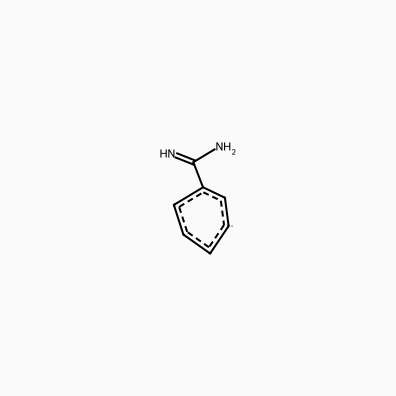 N=C(N)c1c[c]ccc1